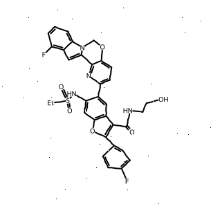 CCS(=O)(=O)Nc1cc2oc(-c3ccc(F)cc3)c(C(=O)NCCO)c2cc1-c1ccc2c(n1)-c1cc3c(F)cccc3n1CO2